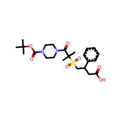 CC(C)(C)OC(=O)N1CCN(C(=O)C(C)(C)S(=O)(=O)CC(CC(=O)O)c2ccccc2)CC1